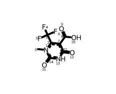 Cn1c(C(F)(F)F)c(C(=O)O)c(=O)[nH]c1=O